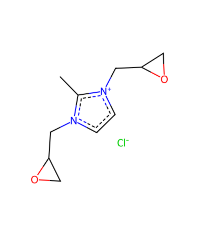 Cc1n(CC2CO2)cc[n+]1CC1CO1.[Cl-]